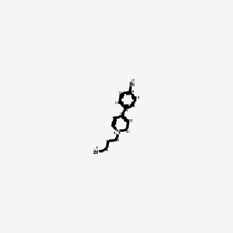 BrCCCN1C=CC(c2ccc(Br)cc2)=CC1